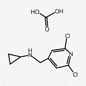 Clc1cc(CNC2CC2)cc(Cl)n1.O=C(O)O